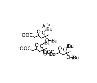 CCC(C)OC(C)(CC(=O)CC(=O)[O-])OC(C)CC.CCC(C)OC(C)(CC(=O)CC(=O)[O-])OC(C)CC.CCC(C)OC(C)(CC(=O)CC(=O)[O-])OC(C)CC.[Al+3]